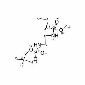 CCOP(=O)(NCCNP1(=O)OCC(C)(C)CO1)OC